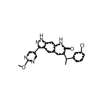 COc1ncc(-c2n[nH]c3cc4[nH]c(=O)c(C(C)c5cccc(Cl)c5)cc4cc23)cn1